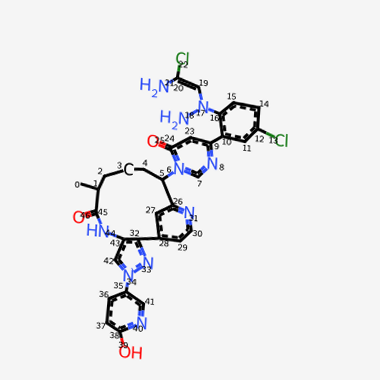 CC1CCCC(n2cnc(-c3cc(Cl)ccc3N(N)/C=C(\N)Cl)cc2=O)c2cc(ccn2)-c2nn(-c3ccc(O)nc3)cc2NC1=O